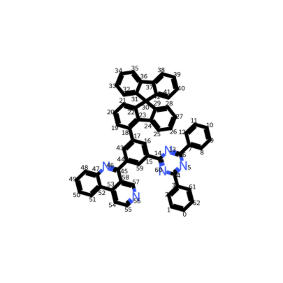 c1ccc(-c2nc(-c3ccccc3)nc(-c3cc(-c4cccc5c4-c4ccccc4C54c5ccccc5-c5ccccc54)cc(-c4nc5ccccc5c5ccncc45)c3)n2)cc1